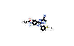 CSc1cccc(Nc2c(-c3ccc(NC(C)=O)cc3)nc3c(C#N)c[nH]n23)c1